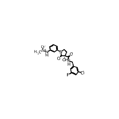 C[S+]([O-])Nc1cccc(N2CC[C@@](O)(C(=O)NCc3cc(F)cc(Cl)c3)C2=O)c1